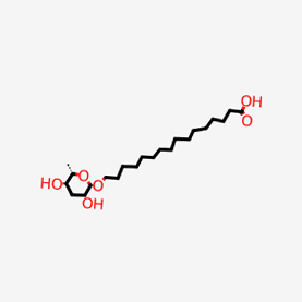 C[C@@H]1O[C@@H](OCCCCCCCCCCCCCCCC(=O)O)[C@H](O)C[C@H]1O